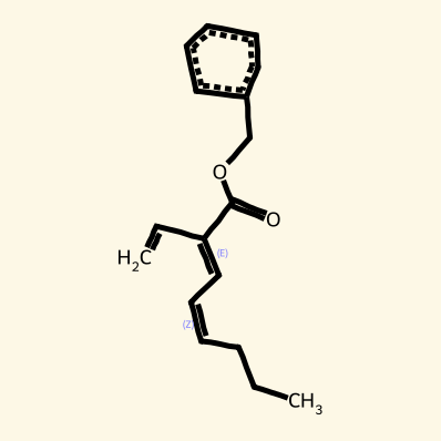 C=C/C(=C\C=C/CCC)C(=O)OCc1ccccc1